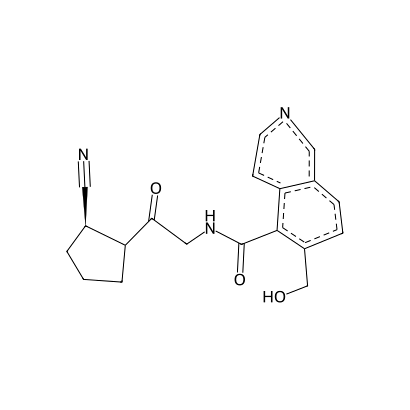 N#C[C@@H]1CCCC1C(=O)CNC(=O)c1c(CO)ccc2cnccc12